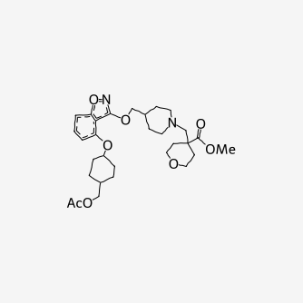 COC(=O)C1(CN2CCC(COc3noc4cccc(OC5CCC(COC(C)=O)CC5)c34)CC2)CCOCC1